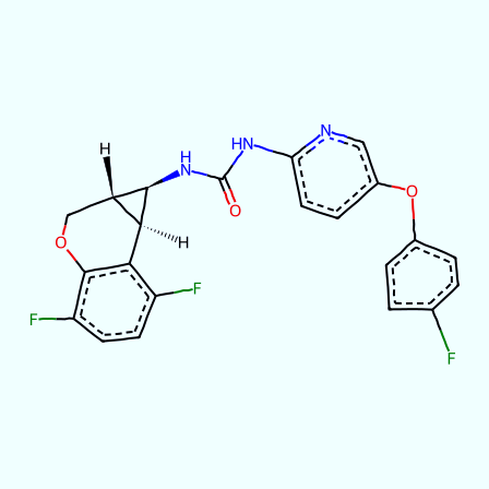 O=C(Nc1ccc(Oc2ccc(F)cc2)cn1)N[C@@H]1[C@H]2COc3c(F)ccc(F)c3[C@@H]21